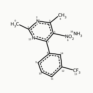 Cc1nc(C)c([N+](=O)[O-])c(-c2cccc(C(F)(F)F)c2)n1.N